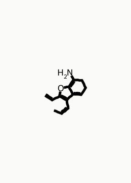 C=Cc1oc2c(c1/C=C\C)=CCCC=2N